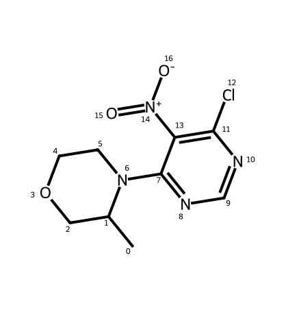 CC1COCCN1c1ncnc(Cl)c1[N+](=O)[O-]